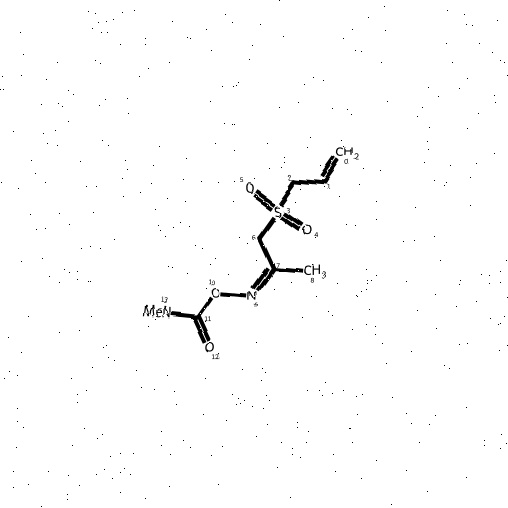 C=CCS(=O)(=O)CC(C)=NOC(=O)NC